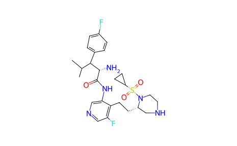 CC(C)C(c1ccc(F)cc1)[C@H](N)C(=O)Nc1cncc(F)c1CC[C@H]1CNCCN1S(=O)(=O)C1CC1